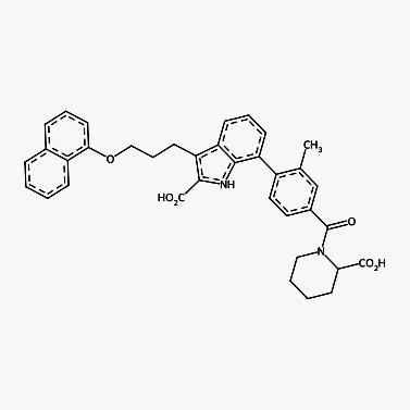 Cc1cc(C(=O)N2CCCCC2C(=O)O)ccc1-c1cccc2c(CCCOc3cccc4ccccc34)c(C(=O)O)[nH]c12